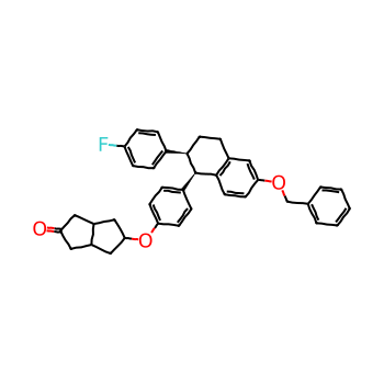 O=C1CC2CC(Oc3ccc([C@@H]4c5ccc(OCc6ccccc6)cc5CC[C@@H]4c4ccc(F)cc4)cc3)CC2C1